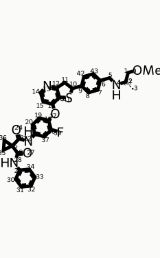 COC[C@H](C)NCc1ccc(C2Cc3nccc(Oc4ccc(NC(=O)C5(C(=O)Nc6ccccc6)CC5)cc4F)c3S2)cc1